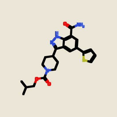 CC(C)COC(=O)N1CCC(c2n[nH]c3c(C(N)=O)cc(-c4cccs4)cc23)CC1